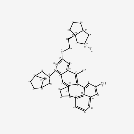 Oc1cc(-c2c(F)cc3c(N4CC5CCC(C4)N5)nc(OCC[C@@]45CCCN4C[C@H](F)C5)nc3c2F)c2c(C3CCC3)cccc2c1